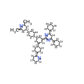 Cc1cc(-c2ccc(-c3cc(-c4ccc(-c5ccccn5)cc4)cc(-c4nc(-c5ccccc5)cc(-c5ccccc5)n4)c3)cc2)cc(C)n1